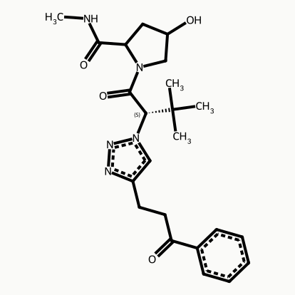 CNC(=O)C1CC(O)CN1C(=O)[C@@H](n1cc(CCC(=O)c2ccccc2)nn1)C(C)(C)C